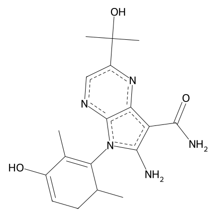 CC1=C(n2c(N)c(C(N)=O)c3nc(C(C)(C)O)cnc32)C(C)CC=C1O